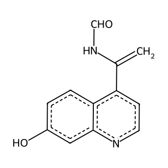 C=C(NC=O)c1ccnc2cc(O)ccc12